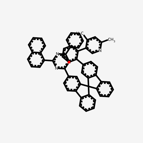 Cc1cc(C)c(-c2ccccc2-c2ccc3c(c2)C2(c4ccccc4-c4ccc(-c5nc(-c6ccccc6)nc(-c6cccc7ccccc67)n5)cc42)c2ccccc2-3)cn1